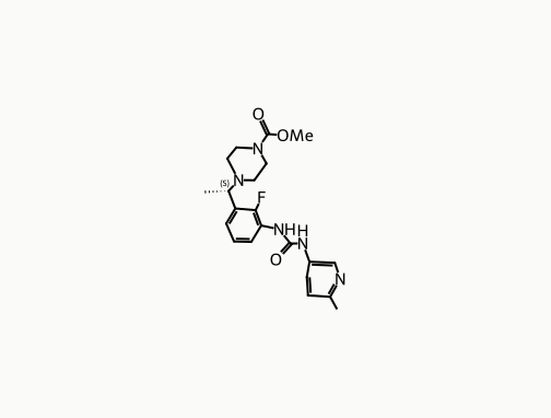 COC(=O)N1CCN([C@@H](C)c2cccc(NC(=O)Nc3ccc(C)nc3)c2F)CC1